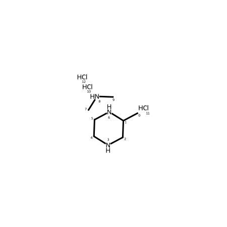 CC1CNCCN1.CNC.Cl.Cl.Cl